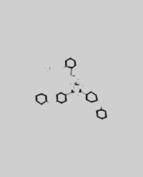 COc1ccccc1CNc1nc(-c2ccc(Oc3ccccc3)cc2)nc(-c2ccc(Oc3ccccc3)cc2)n1